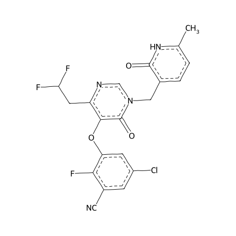 Cc1ccc(Cn2cnc(CC(F)F)c(Oc3cc(Cl)cc(C#N)c3F)c2=O)c(=O)[nH]1